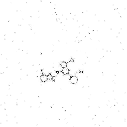 OC[C@@H]1CCCCN1c1nc(NCc2nc3c(F)cccc3[nH]2)n2ncc(C3CC3)c2n1